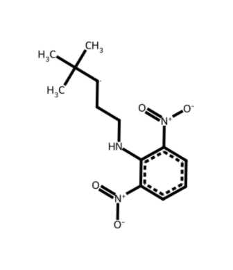 CC(C)(C)[CH]CCNc1c([N+](=O)[O-])cccc1[N+](=O)[O-]